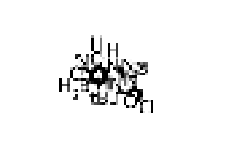 Bc1ccc(Nc2n[s+]([O-])nc2N[C@@H](c2ccc(Cl)o2)C(C)(C)C)c(O)c1C(=O)N(C)C